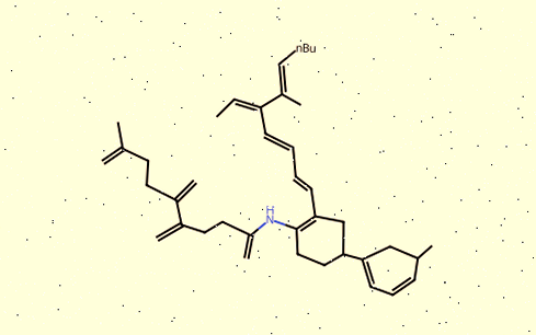 C=C(C)CCC(=C)C(=C)CCC(=C)NC1=C(/C=C/C=C/C(=C\C)C(/C)=C/CCCC)CC(C2=CC=CC(C)C2)CC1